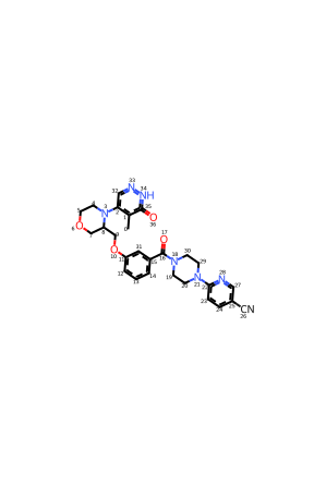 Cc1c(N2CCOCC2COc2cccc(C(=O)N3CCN(c4ccc(C#N)cn4)CC3)c2)cn[nH]c1=O